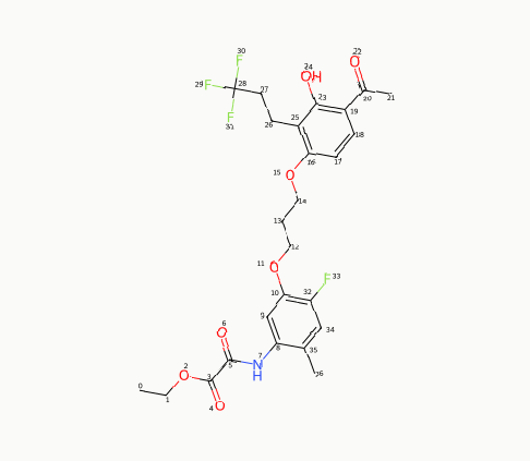 CCOC(=O)C(=O)Nc1cc(OCCCOc2ccc(C(C)=O)c(O)c2CCC(F)(F)F)c(F)cc1C